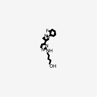 OCCCCCNc1nccc(-c2cnn(-c3ccccc3F)c2)n1